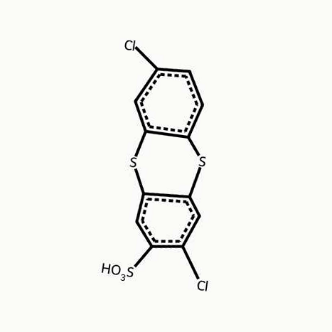 O=S(=O)(O)c1cc2c(cc1Cl)Sc1ccc(Cl)cc1S2